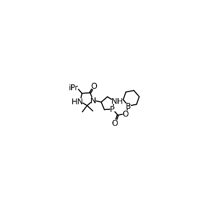 CC(C)C1NC(C)(C)N(C2CNP(C(=O)OB3CCCCC3)C2)C1=O